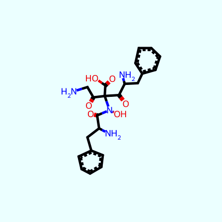 NCC(=O)C(C(=O)O)(C(=O)C(N)Cc1ccccc1)N(O)C(=O)C(N)Cc1ccccc1